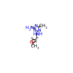 Cc1cc(CCNC2=NC(C)N=C(N)N2)co1